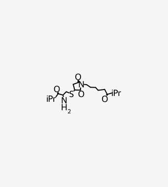 CC(C)C(=O)CCCCCN1C(=O)CC(SCC(N)C(=O)C(C)C)C1=O